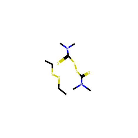 CCSSCC.CN(C)C(=S)SSC(=S)N(C)C